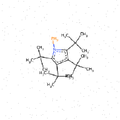 CC(C)(C)c1c(C(C)(C)C)c(C(C)(C)C)n(P)c1C(C)(C)C